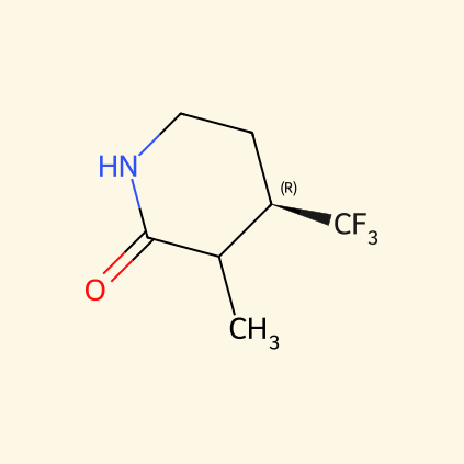 CC1C(=O)NCC[C@H]1C(F)(F)F